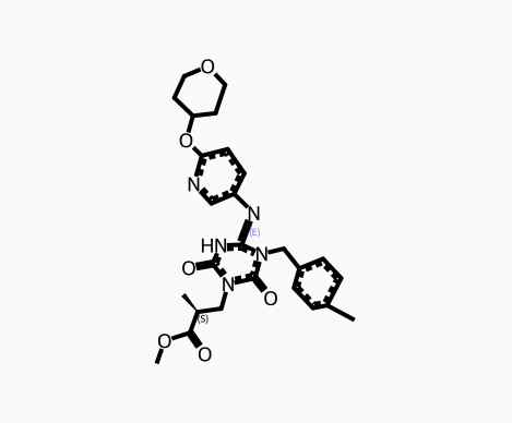 COC(=O)[C@@H](C)Cn1c(=O)[nH]/c(=N\c2ccc(OC3CCOCC3)nc2)n(Cc2ccc(C)cc2)c1=O